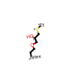 CCCCCCCCOCC(O)CSCC